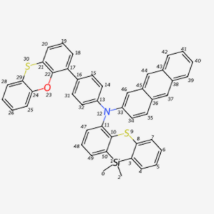 C[Si]1(C)c2ccccc2Sc2c(N(c3ccc(-c4cccc5c4Oc4ccccc4S5)cc3)c3ccc4cc5ccccc5cc4c3)cccc21